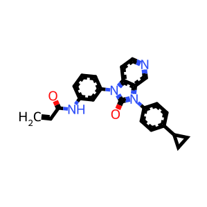 C=CC(=O)Nc1cccc(-n2c(=O)n(-c3ccc(C4CC4)cc3)c3cnccc32)c1